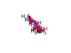 Cc1cccc(/C=N/Nc2cc(N3CCOCC3)nc(OCCc3ccc(NC(=O)CNC(=O)COc4cc(-c5scnc5C)ccc4CNC(=O)[C@@H]4C[C@@H](O)CN4C(=O)[C@@H](NC(=O)C4(F)CC4)C(C)(C)C)cc3)n2)c1